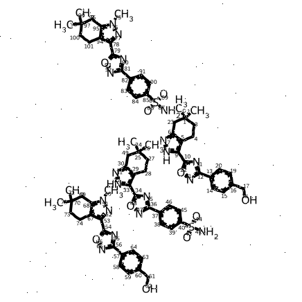 CC1(C)CCc2c(n[nH]c2-c2nc(-c3ccc(CO)cc3)no2)C1.CC1(C)CCc2c(n[nH]c2-c2nc(-c3ccc(S(N)(=O)=O)cc3)no2)C1.Cn1nc(-c2nc(-c3ccc(CO)cc3)no2)c2c1CC(C)(C)CC2.Cn1nc(-c2nc(-c3ccc(S(N)(=O)=O)cc3)no2)c2c1CC(C)(C)CC2